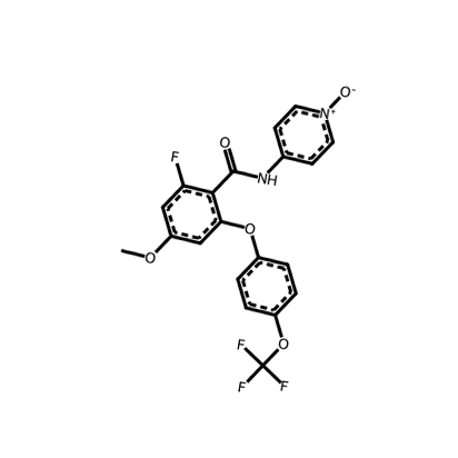 COc1cc(F)c(C(=O)Nc2cc[n+]([O-])cc2)c(Oc2ccc(OC(F)(F)F)cc2)c1